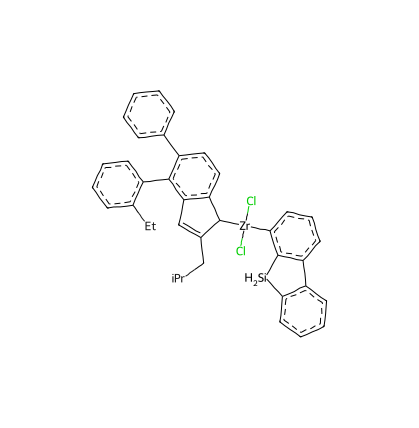 CCc1ccccc1-c1c(-c2ccccc2)ccc2c1C=C(CC(C)C)[CH]2[Zr]([Cl])([Cl])[c]1cccc2c1[SiH2]c1ccccc1-2